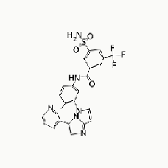 Cc1ccc(NC(=O)c2cc(C(F)(F)F)cc(S(N)(=O)=O)c2)cc1-n1ccc2ncc(-c3cccnc3)n21